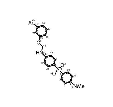 CNc1ccc(S(=O)(=O)c2ccc(NCOc3cccc(C(C)=O)c3)cc2)cc1